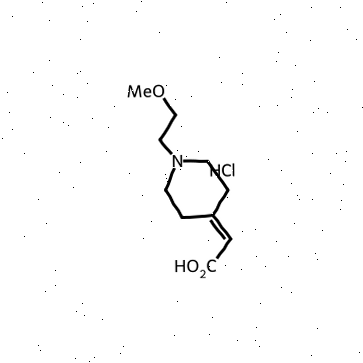 COCCN1CCC(=CC(=O)O)CC1.Cl